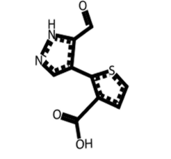 O=Cc1[nH]ncc1-c1sccc1C(=O)O